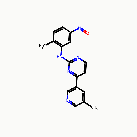 Cc1cncc(-c2ccnc(Nc3cc(N=O)ccc3C)n2)c1